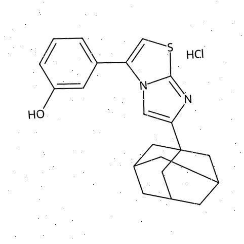 Cl.Oc1cccc(-c2csc3nc(C45CC6CC(CC(C6)C4)C5)cn23)c1